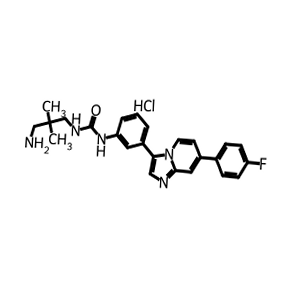 CC(C)(CN)CNC(=O)Nc1cccc(-c2cnc3cc(-c4ccc(F)cc4)ccn23)c1.Cl